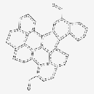 O=Cc1cc2c(c3ccccc13)c1ccc3ccc(C=O)c4c5ccc6ccc7cccc8c7c6c5c(c28)c1c34